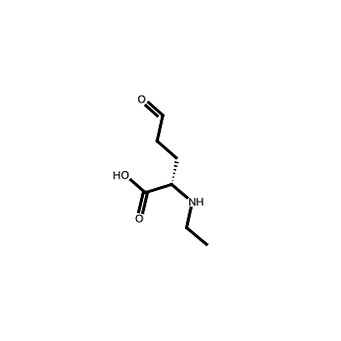 CCN[C@@H](CCC=O)C(=O)O